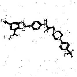 CC(F)c1cc(C#N)cc2nc(-c3ccc(NC(=O)CN4CCN(c5ccc(C(F)(F)F)cc5)CC4)cc3)oc12